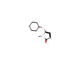 [CH2]N1C(=O)C=C=C1OC1CCCCC1